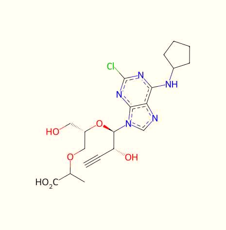 C#C[C@@H](O)[C@@H](O[C@@H](CO)COC(C)C(=O)O)n1cnc2c(NC3CCCC3)nc(Cl)nc21